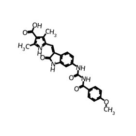 COc1ccc(C(=O)NC(=O)Nc2ccc3c(c2)NC(=O)C3=Cc2[nH]c(C)c(C(=O)O)c2C)cc1